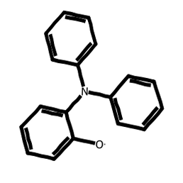 [O]c1ccccc1N(c1ccccc1)c1ccccc1